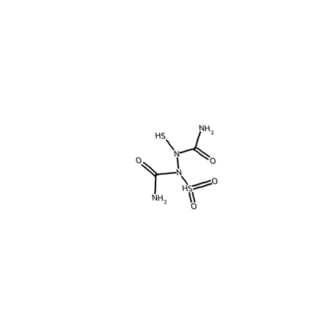 NC(=O)N(S)N(C(N)=O)[SH](=O)=O